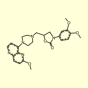 COc1ccc2nccc(N3CCN(CC4CN(c5ccc(OC)c(OC)c5)C(=O)O4)CC3)c2n1